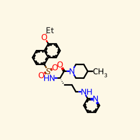 CCOc1cccc2c(S(=O)(=O)N[C@@H](CCCNc3ccccn3)C(=O)N3CCC(C)CC3)cccc12